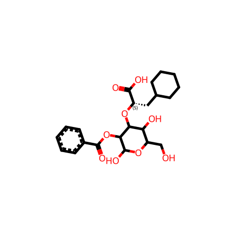 O=C(OC1C(O)OC(CO)C(O)C1O[C@@H](CC1CCCCC1)C(=O)O)c1ccccc1